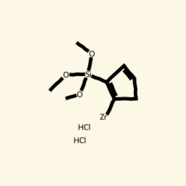 CO[Si](OC)(OC)C1=[C]([Zr])CC=C1.Cl.Cl